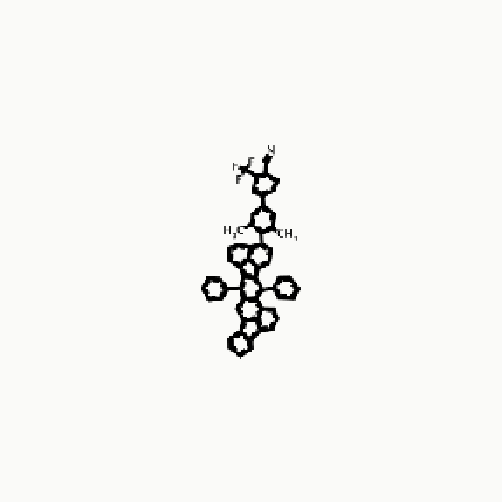 Cc1cc(-c2ccc(C#N)c(C(F)(F)F)c2)cc(C)c1-c1ccc2c3c(-c4ccccc4)c4c(cc5c6ccccc6c6cccc4c65)c(-c4ccccc4)c3c3cccc1c32